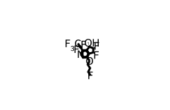 O[C@H]1c2c(C(F)(F)C(F)(F)F)ncc(OCCCF)c2[C@@H](F)[C@H]1F